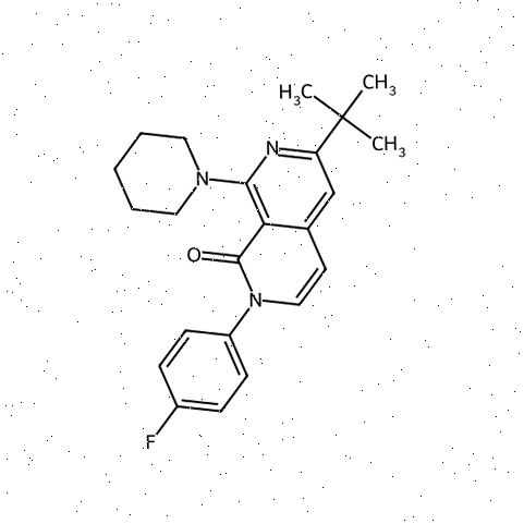 CC(C)(C)c1cc2ccn(-c3ccc(F)cc3)c(=O)c2c(N2CCCCC2)n1